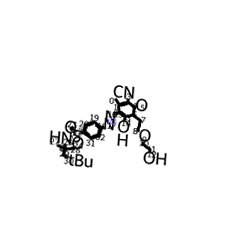 CC1=C(C#N)C(=O)C(CCOCCO)C(O)=C1/N=N/c1ccc(S(=O)(=O)NC(C)(C)CC(C)(C)C)cc1